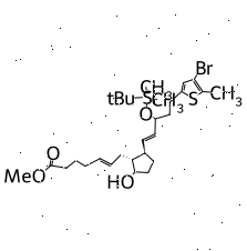 COC(=O)CCCC=CC[C@H]1C(O)CC[C@@H]1C=CC(CCc1cc(Br)c(C)s1)O[Si](C)(C)C(C)(C)C